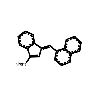 CCCCCC1=CC(=Cc2cccc3ccccc23)c2ccccc21